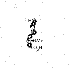 COCCn1c(CN2CCC(c3cccc(OCc4cc5cn[nH]c5cc4F)n3)CC2)nc2ccc(C(=O)O)cc21